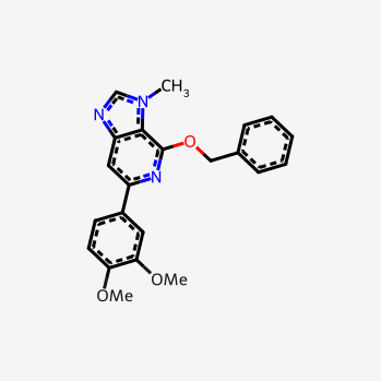 COc1ccc(-c2cc3ncn(C)c3c(OCc3ccccc3)n2)cc1OC